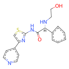 O=C(Nc1nc(-c2ccncc2)cs1)[C@H](NCCO)c1ccccc1